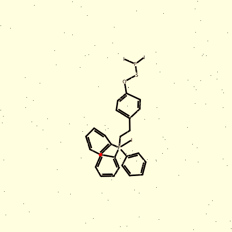 IP(I)SOc1ccc(CCP(I)(c2ccccc2)(c2ccccc2)c2ccccc2)cc1